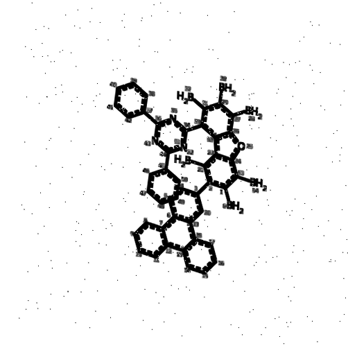 Bc1c(-c2ccc3c4ccccc4c4ccccc4c3c2)c(B)c2c(oc3c(B)c(B)c(B)c(-c4nc(-c5ccccc5)nc(-c5ccccc5)n4)c32)c1B